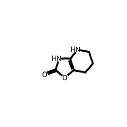 O=c1[nH]c2c(o1)CCCN2